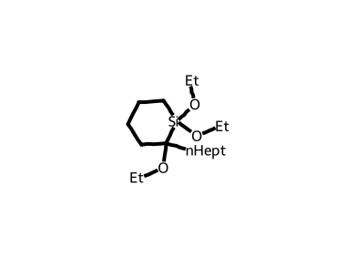 CCCCCCCC1(OCC)CCCC[Si]1(OCC)OCC